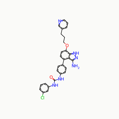 Nc1n[nH]c2c(OCCCc3cccnc3)ccc(-c3ccc(NC(=O)Nc4cccc(Cl)c4)cc3)c12